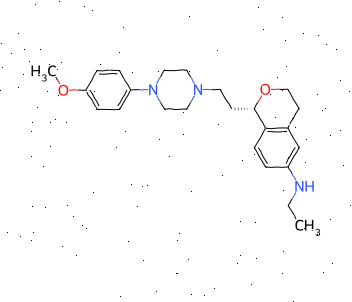 CCNc1ccc2c(c1)CCO[C@H]2CCN1CCN(c2ccc(OC)cc2)CC1